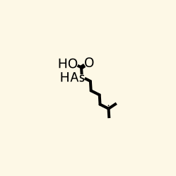 C[C](C)CCCC[AsH]C(=O)O